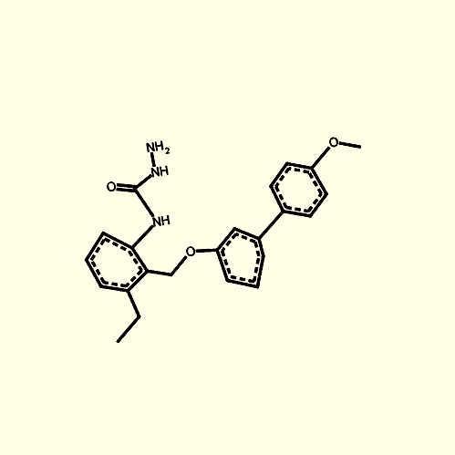 CCc1cccc(NC(=O)NN)c1COc1cccc(-c2ccc(OC)cc2)c1